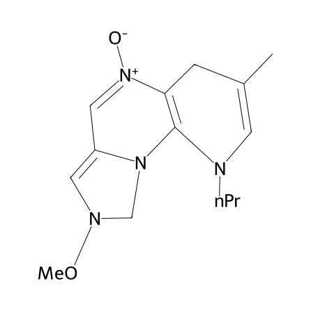 CCCN1C=C(C)CC2=C1N1CN(OC)C=C1C=[N+]2[O-]